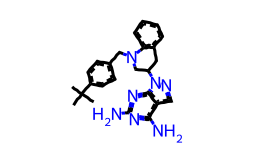 CC(C)(C)c1ccc(CN2CC(n3ncc4c(N)nc(N)nc43)Cc3ccccc32)cc1